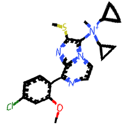 COc1cc(Cl)ccc1-c1nccn2c([N+](C)(C3CC3)C3CC3)c(SC)nc12